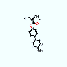 C=C(C)C(=O)Oc1ccc(C2CCC(CCC)CC2)cc1